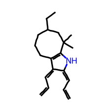 C=C/C=c1/c2c([nH]/c1=C/C=C)C(C)(C)CC(CC)CCC2